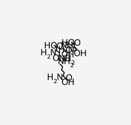 NC(=O)C[C@H](N)C(=O)O.NCC(=O)O.NCCCC[C@H](N)C(=O)O.N[C@@H](CO)C(=O)O